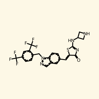 O=C1N=C(NC2CNC2)S/C1=C\c1ccc2c(cnn2Cc2ccc(C(F)(F)F)cc2C(F)(F)F)c1